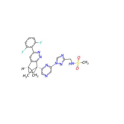 CC1(C)[C@H]2CC[C@]1(c1cncc(-n3cnc(CNS(C)(=O)=O)n3)n1)c1nnc(-c3c(F)cccc3F)cc12